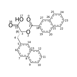 O=C(O[C@H](Cc1ccc2ccccc2c1)C(=O)O)c1ccc2ccccc2c1